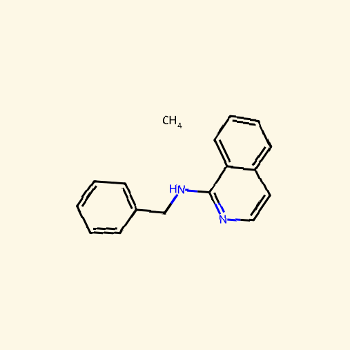 C.c1ccc(CNc2nccc3ccccc23)cc1